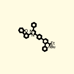 CCCCC(CC)C1=C(c2ccccc2)CC(c2ccc(-c3cc(-c4ccccc4)nc(-c4cccc5c4oc4ccccc45)n3)cc2)C=C1